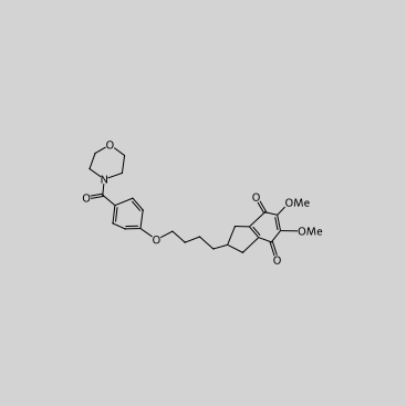 COC1=C(OC)C(=O)C2=C(CC(CCCCOc3ccc(C(=O)N4CCOCC4)cc3)C2)C1=O